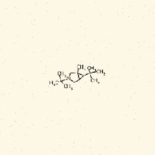 CC(C)(C)C1C2CN(C(C)(C)C)CC21C